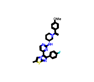 C=C(c1ccc(OC)cc1)N1CCC[C@@H](Nc2nccc(-c3c(-c4ccc(F)cc4)nc4sc(C)cn34)n2)C1